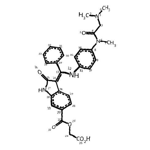 CN(C)CC(=O)N(C)c1ccc(NC(=C2C(=O)Nc3cc(C(=O)OCC(=O)O)ccc32)c2ccccc2)cc1